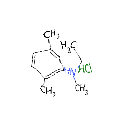 CCNC.Cc1ccc(C)cc1.Cl